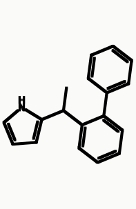 CC(c1ccc[nH]1)c1ccccc1-c1ccccc1